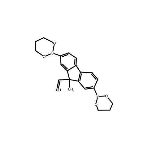 B=CC1(C)c2cc(B3OCCCO3)ccc2-c2ccc(B3OCCCO3)cc21